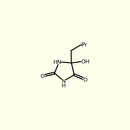 CC(C)CC1(O)NC(=O)NC1=O